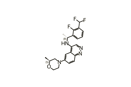 C[C@H]1CN(c2ccc3nncc(N[C@H](C)c4cccc(C(F)F)c4F)c3c2)CCO1